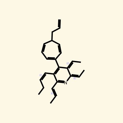 C=CCC1C=CC=C(c2c(/C=C\CC)c(/C=C/C)nc(=C/C)/c2=C\C)C=C1